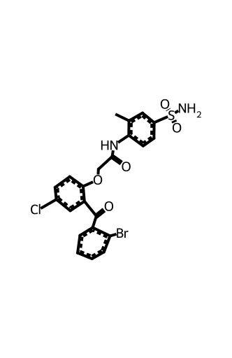 Cc1cc(S(N)(=O)=O)ccc1NC(=O)COc1ccc(Cl)cc1C(=O)c1ccccc1Br